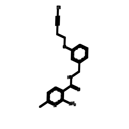 CCC#CCCOc1cccc(CNC(=O)c2ccc(C)nc2N)c1